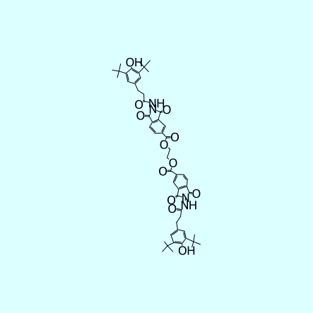 CC(C)(C)c1cc(CCC(=O)NN2C(=O)c3ccc(C(=O)OCCOC(=O)c4ccc5c(c4)C(=O)N(NC(=O)CCc4cc(C(C)(C)C)c(O)c(C(C)(C)C)c4)C5=O)cc3C2=O)cc(C(C)(C)C)c1O